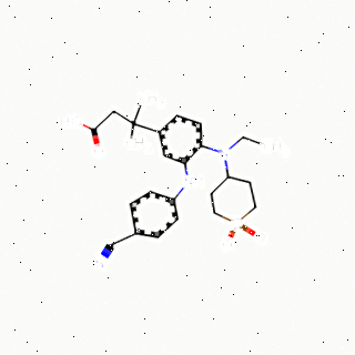 CCN(c1ccc(C(C)(C)CC(=O)O)cc1Nc1ccc(C#N)cc1)C1CCS(=O)(=O)CC1